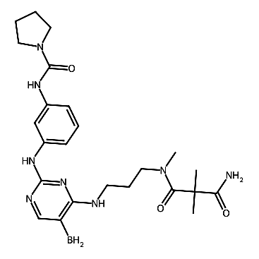 Bc1cnc(Nc2cccc(NC(=O)N3CCCC3)c2)nc1NCCCN(C)C(=O)C(C)(C)C(N)=O